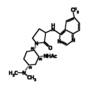 CC(=O)N[C@@H]1C[C@H](N(C)C)CC[C@@H]1N1CCC(Nc2ncnc3ccc(C(F)(F)F)cc23)C1=O